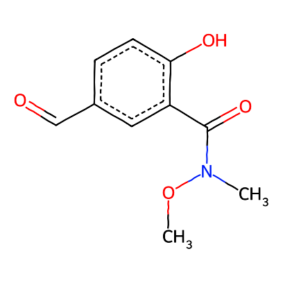 CON(C)C(=O)c1cc(C=O)ccc1O